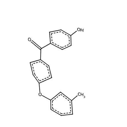 Cc1cccc(Oc2ccc(C(=O)c3ccc(O)cc3)cc2)c1